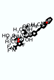 COC(=O)NC(C(=O)NC(Cc1ccc(C#Cc2ccc(N3CC4CCC(C3)N4C3COC3)nc2C)cc1)C(O)CN(CC(=O)C(NC(=O)O)C(C)(C)C(F)(F)F)Cc1c(F)cc(-c2cnn(C(F)F)c2)cc1F)C(C)(C)C(F)(F)F